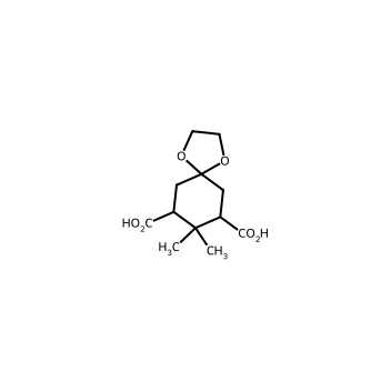 CC1(C)C(C(=O)O)CC2(CC1C(=O)O)OCCO2